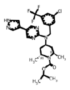 CC(C)OC(=O)N1[C@H](C)CC(N(Cc2cc(Cl)cc(C(F)(F)F)c2)c2ncc(-c3cn[nH]c3)cn2)C[C@H]1C